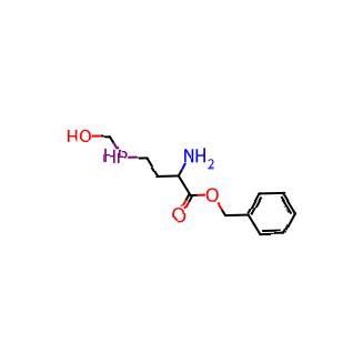 NC(CCPCO)C(=O)OCc1ccccc1